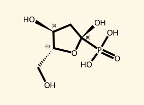 O=P(O)(O)[C@@]1(O)C[C@H](O)[C@@H](CO)O1